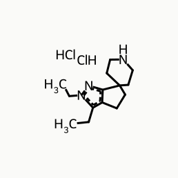 CCc1c2c(nn1CC)C1(CCNCC1)CC2.Cl.Cl